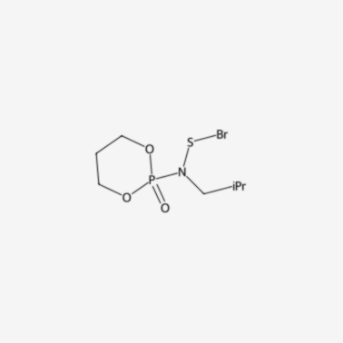 CC(C)CN(SBr)P1(=O)OCCCO1